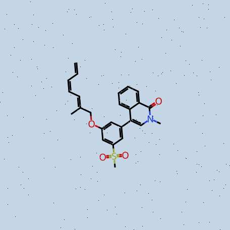 C=C/C=C\C=C(/C)COc1cc(-c2cn(C)c(=O)c3ccccc23)cc(S(C)(=O)=O)c1